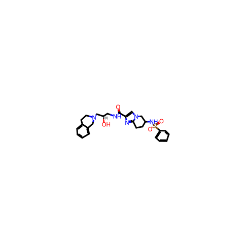 O=C(NC[C@@H](O)CN1CCc2ccccc2C1)c1cn2c(n1)CCC(NS(=O)(=O)c1ccccc1)C2